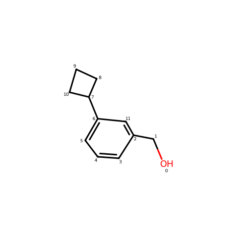 OCc1cccc(C2CCC2)c1